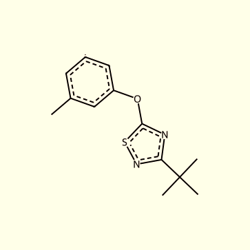 Cc1c[c]cc(Oc2nc(C(C)(C)C)ns2)c1